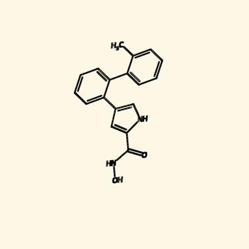 Cc1ccccc1-c1ccccc1-c1c[nH]c(C(=O)NO)c1